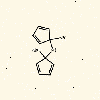 CCCC[C]1([Hf][C]2(CCC)C=CC=C2)C=CC=C1